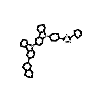 c1ccc(-c2noc(-c3ccc(-n4c5ccccc5c5cc(-n6c7ccccc7c7cc(-c8ccc9ccccc9c8)ccc76)ccc54)cc3)n2)cc1